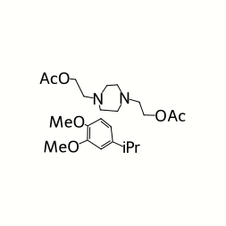 CC(=O)OCCN1CCN(CCOC(C)=O)CC1.COc1ccc(C(C)C)cc1OC